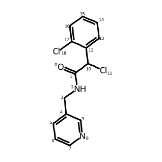 O=C(NCc1cccnc1)C(Cl)c1ccccc1Cl